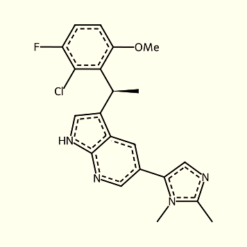 COc1ccc(F)c(Cl)c1[C@@H](C)c1c[nH]c2ncc(-c3cnc(C)n3C)cc12